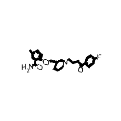 Cc1ccc(OCC2CCCN(CCCC(=O)c3ccc(F)cc3)C2)c(C(N)=O)c1